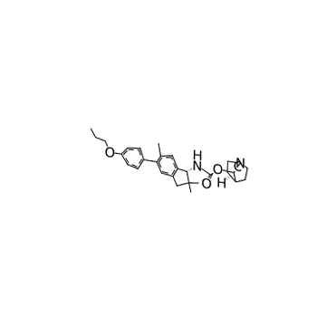 CCCOc1ccc(-c2cc3c(cc2C)[C@H](NC(=O)O[C@H]2CN4CCC2CC4)C(C)(C)C3)cc1